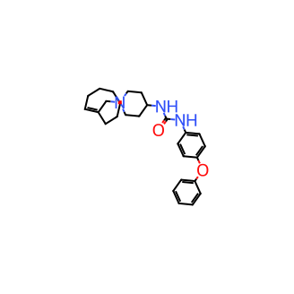 O=C(Nc1ccc(Oc2ccccc2)cc1)NC1CCN(C/C2=C\CCCCCC2)CC1